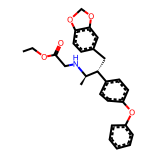 CCOC(=O)CN[C@H](C)[C@H](Cc1ccc2c(c1)OCO2)c1ccc(Oc2ccccc2)cc1